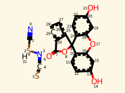 N#CSN=C=S.O=C1OC2(c3ccc(O)cc3Oc3cc(O)ccc32)c2ccccc21.[H+]